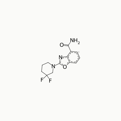 NC(=O)c1[c]ccc2oc(N3CCCC(F)(F)C3)nc12